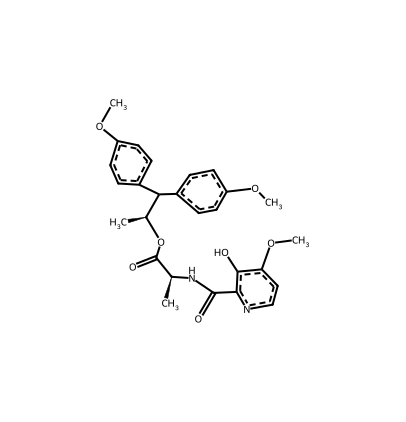 COc1ccc(C(c2ccc(OC)cc2)[C@H](C)OC(=O)[C@H](C)NC(=O)c2nccc(OC)c2O)cc1